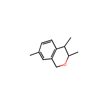 Cc1ccc2c(c1)COC(C)C2C